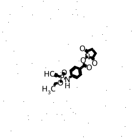 C#CP(=O)(Nc1ccc(C(=O)ON2C(=O)CCC2=O)cc1)OCC